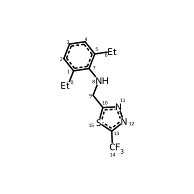 CCc1cccc(CC)c1NCc1nnc(C(F)(F)F)s1